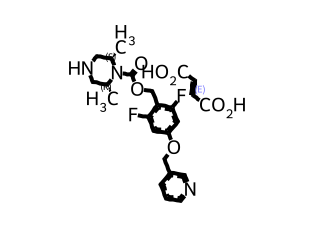 C[C@@H]1CNC[C@H](C)N1C(=O)OCc1c(F)cc(OCc2cccnc2)cc1F.O=C(O)/C=C/C(=O)O